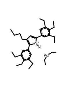 CCCCC1=C(c2cc(CC)c(CC)c(CC)c2)[N+](=[N-])C(c2cc(CC)c(CC)c(CC)c2)=C1.C[CH2][Pd][CH2]C